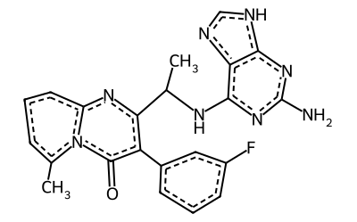 Cc1cccc2nc(C(C)Nc3nc(N)nc4[nH]cnc34)c(-c3cccc(F)c3)c(=O)n12